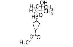 CCOC(=O)C1C2C=C(BOC(C)(C)C(C)(C)O)CC21